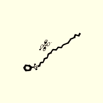 CCCCCCCCCCCCCCCCCC[N+](C)(C)c1ccccc1.COS(=O)(=O)[O-]